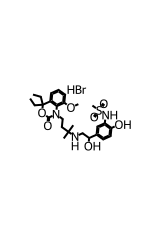 Br.CCC1(CC)OC(=O)N(CCC(C)(C)NCC(O)c2ccc(O)c(NS(C)(=O)=O)c2)c2c(OC)cccc21